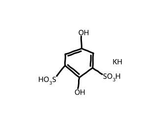 O=S(=O)(O)c1cc(O)cc(S(=O)(=O)O)c1O.[KH]